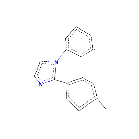 Cc1ccc(-c2nccn2-c2c[c]ccc2)cc1